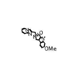 COc1ccc2c3cnn(Cc4cn5ccccc5n4)c(=O)c3n(C)c2c1